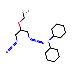 C1CCC(NC2CCCCC2)CC1.[N-]=[N+]=NCC(CN=[N+]=[N-])OCC(=O)O